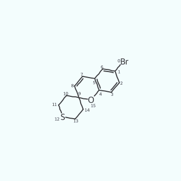 Brc1ccc2c(c1)C=CC1(CCSCC1)O2